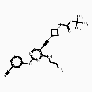 CCCNc1nc(Nc2cccc(C#N)c2)ncc1C#C[C@H]1C[C@@H](NC(=O)OC(C)(C)C)C1